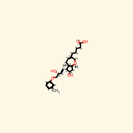 Cc1cccc(OC[C@H](O)/C=C/[C@@H]2[C@H]3CC=C(CCCCC(=O)O)CO[C@H]3C[C@H]2O)c1